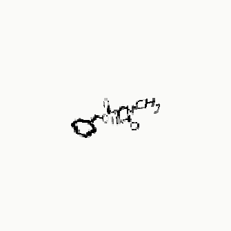 CN1C[C@@H](C(=O)OCc2ccccc2)NC1=O